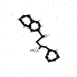 O=C(CC(Cc1ccccc1)C(=O)O)c1ccc2ccccc2c1